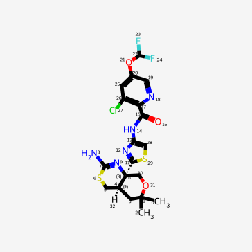 CC1(C)C[C@H]2CSC(N)=N[C@@]2(c2nc(NC(=O)c3ncc(OC(F)F)cc3Cl)cs2)CO1